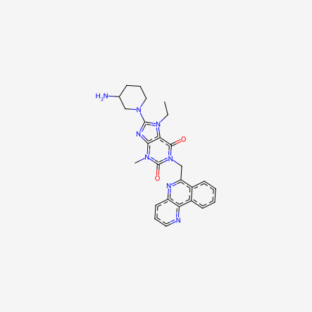 CCn1c(N2CCCC(N)C2)nc2c1c(=O)n(Cc1nc3cccnc3c3ccccc13)c(=O)n2C